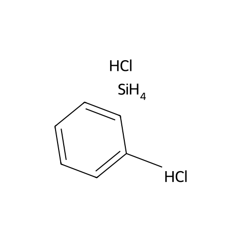 Cc1ccccc1.Cl.Cl.[SiH4]